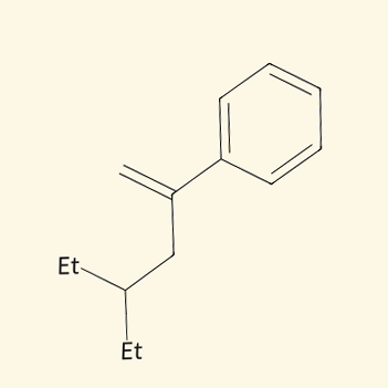 C=C(CC(CC)CC)c1ccccc1